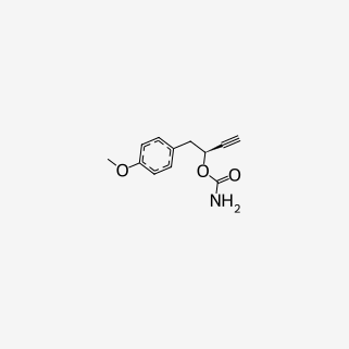 C#C[C@H](Cc1ccc(OC)cc1)OC(N)=O